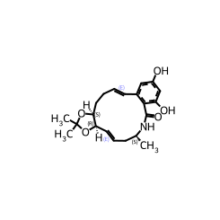 C[C@H]1C/C=C/[C@H]2OC(C)(C)O[C@H]2CC/C=C/c2cc(O)cc(O)c2C(=O)N1